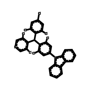 Clc1cc(Cl)c(C(c2c(Cl)cncc2Cl)c2c(Cl)cc(-n3c4ccccc4c4ccccc43)cc2Cl)c(Cl)c1